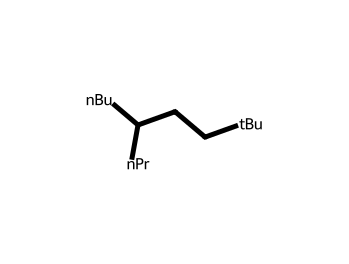 CCCCC(CCC)CCC(C)(C)C